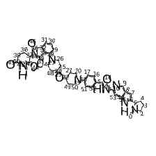 CN1CCC[C@@H]1c1cc2cnc(NC(=O)c3ccc(N4CCC(OC5CCN(c6cccc7c6C(=O)N(C6CCC(=O)NC6=O)C7=O)CC5)CC4)cc3)cc2[nH]1